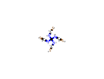 S=C=NC(N=C=S)(N=C=S)N=C=S